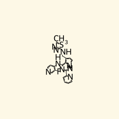 Cc1nnc(NCc2ccn3nc(-c4ccccn4)nc(Nc4ccncc4F)c23)s1